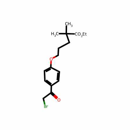 CCOC(=O)C(C)(C)CCCOc1ccc(C(=O)CBr)cc1